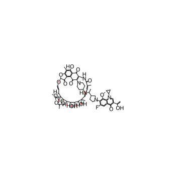 C=C(O)c1cn(C2CC2)c2c(OC)c(N3CCC(C(C)NC4CCN(C5=C6NC(=O)/C(C)=C\C=C\[C@H](C)[C@H](O)[C@@H](C)[C@@H](O)[C@@H](C)[C@H](OC(C)=O)[C@H](C)[C@@H](OC)/C=C/O[C@@]7(C)Oc8c(C)c(O)c(c(c8C7=O)C5=O)C6=O)CC4)C3)c(F)cc2c1=O